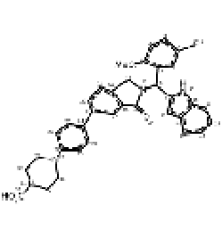 COc1ccc(F)cc1C(c1cc2ccccc2[nH]1)N1Cc2ccc(-c3ccc(N4CCN(C(=O)O)CC4)cc3)cc2C1=O